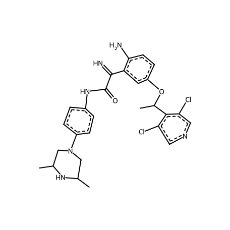 CC1CN(c2ccc(NC(=O)C(=N)c3cc(OC(C)c4c(Cl)cncc4Cl)ccc3N)cc2)CC(C)N1